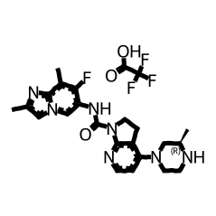 Cc1cn2cc(NC(=O)N3CCc4c(N5CCN[C@H](C)C5)ccnc43)c(F)c(C)c2n1.O=C(O)C(F)(F)F